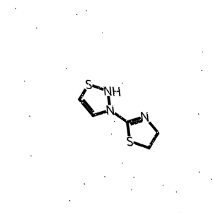 C1=CN(C2=NCCS2)NS1